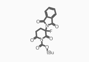 CC(C)(C)OC(=O)N1C(=O)CCC(F)(N2C(=O)c3ccccc3C2=O)C1=O